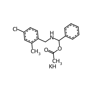 CC(=O)OC(NCc1ccc(Cl)cc1C)c1ccccc1.[KH]